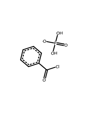 O=C(Cl)c1ccccc1.[O]P(=O)(O)O